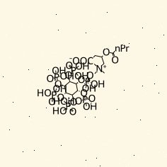 CCCC(=O)OC(CC(=O)[O-])C[N+](C)(C)C.O=P(O)(O)O[C@H]1[C@H](OP(=O)(O)O)[C@@H](OP(=O)(O)O)[C@H](OP(=O)(O)O)[C@@H](OP(=O)(O)O)[C@H]1OP(=O)(O)O